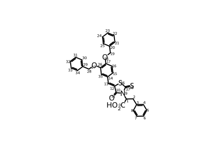 O=C(O)C(Cc1ccccc1)N1C(=O)C(=Cc2ccc(OCc3ccccc3)c(OCc3ccccc3)c2)SC1=S